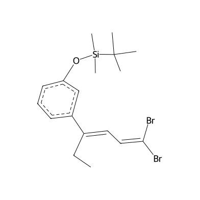 CCC(=CC=C(Br)Br)c1cccc(O[Si](C)(C)C(C)(C)C)c1